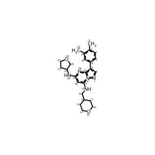 Cc1ccc(-c2cnn3c(NCC4CCOCC4)cc(NC4CCOC4)nc23)cc1C